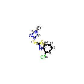 CCN1C=NN(Sc2nc3c(Cl)cccc3s2)C1